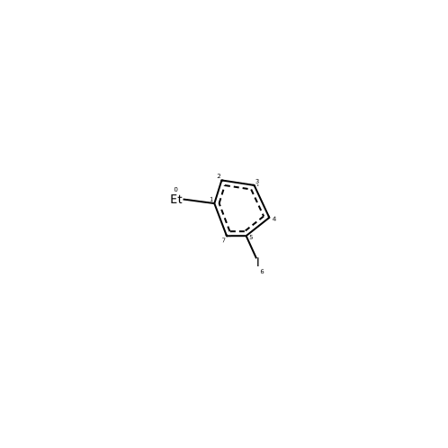 CCc1c[c]cc(I)c1